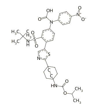 CC(C)OC(=O)NC12CCC(c3ncc(-c4ccc(N(C(=O)O)c5ccc([N+](=O)[O-])cc5)cc4S(=O)(=O)NC(C)(C)C)s3)(CC1)CC2